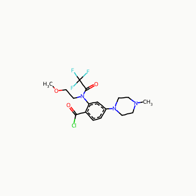 COCCN(C(=O)C(F)(F)F)c1cc(N2CCN(C)CC2)ccc1C(=O)Cl